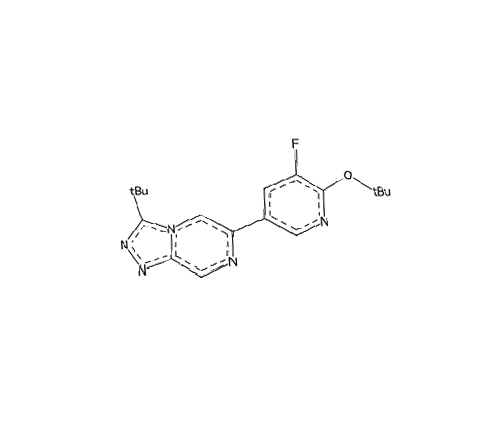 CC(C)(C)Oc1ncc(-c2cn3c(C(C)(C)C)nnc3cn2)cc1F